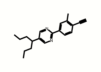 C#Cc1ccc(-c2ncc(C(CCC)CCC)cn2)cc1C